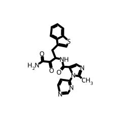 Cc1ncc(C(=O)NC(Cc2csc3ccccc23)C(=O)C(N)=O)n1-c1ccncn1